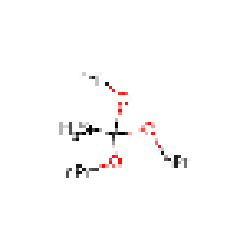 CCCOC([SiH3])(OCCC)OCCC